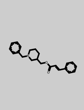 O=C(/C=C/c1ccccc1)OCC1CCCN(Cc2ccccc2)C1